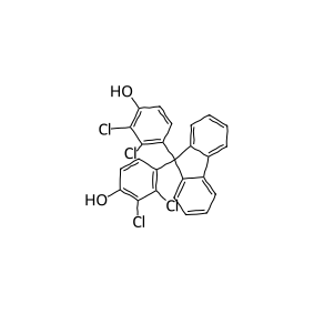 Oc1ccc(C2(c3ccc(O)c(Cl)c3Cl)c3ccccc3-c3ccccc32)c(Cl)c1Cl